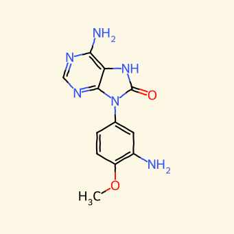 COc1ccc(-n2c(=O)[nH]c3c(N)ncnc32)cc1N